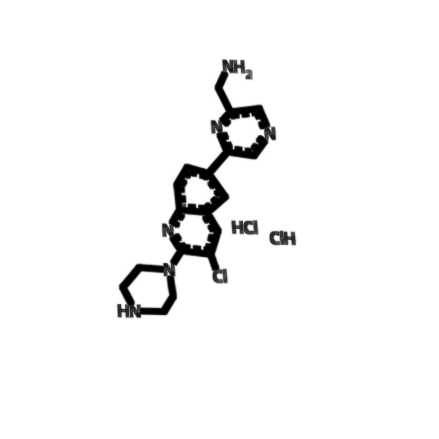 Cl.Cl.NCc1cncc(-c2ccc3nc(N4CCNCC4)c(Cl)cc3c2)n1